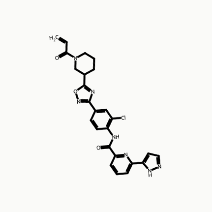 C=CC(=O)N1CCCC(c2nc(-c3ccc(NC(=O)c4cccc(-c5ccn[nH]5)n4)c(Cl)c3)no2)C1